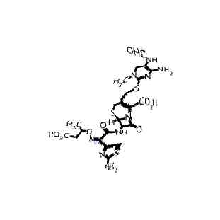 CC(CC(=O)O)O/N=C(\C(=O)NC1C(=O)N2C(C(=O)O)=C(CSC3=NC(N)=C(NC=O)CN3C)CS[C@@H]12)c1csc(N)n1